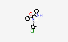 Cc1cc(Cl)ccc1CCN[C@@H](C(=O)c1c[nH]c2ccccc12)c1ccccc1